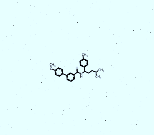 COc1ccc(-c2cccc(C(=O)NC(CCN(C)C)c3ccc(C)cc3)c2)cc1